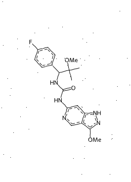 COc1n[nH]c2cc(NC(=O)NC(c3ccc(F)cc3)C(C)(C)OC)ncc12